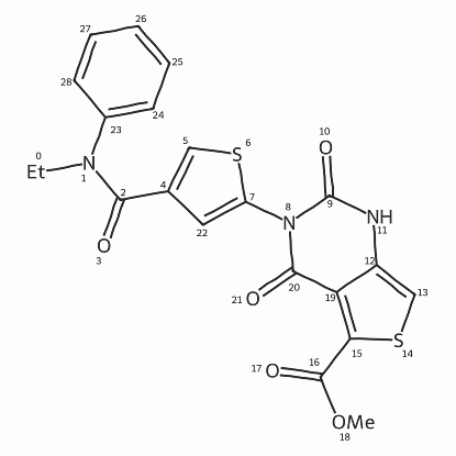 CCN(C(=O)c1csc(-n2c(=O)[nH]c3csc(C(=O)OC)c3c2=O)c1)c1ccccc1